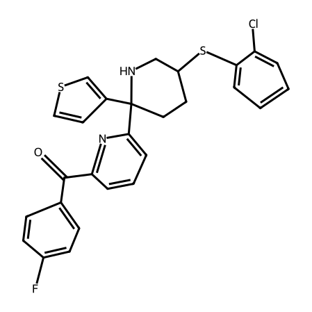 O=C(c1ccc(F)cc1)c1cccc(C2(c3ccsc3)CCC(Sc3ccccc3Cl)CN2)n1